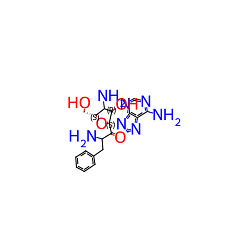 Nc1ncnc2c1ncn2[C@]1(C(=O)C(N)Cc2ccccc2)O[C@H](CO)C(N)[C@H]1O